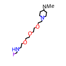 CNC1CCN(CCOCCOCCOCCNCI)CC1